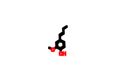 CC/C=C/c1ccc(O)c(OC)c1